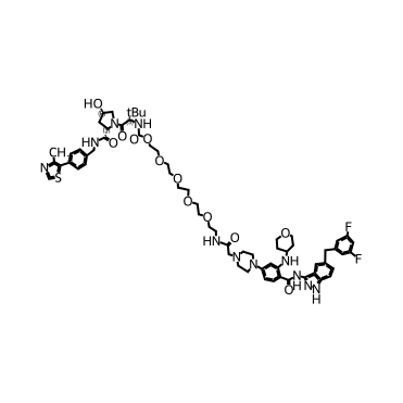 Cc1ncsc1-c1ccc(CNC(=O)[C@@H]2C[C@@H](O)CN2C(=O)[C@@H](NC(=O)OCCOCCOCCOCCOCCNC(=O)CN2CCN(c3ccc(C(=O)Nc4n[nH]c5ccc(Cc6cc(F)cc(F)c6)cc45)c(NC4CCOCC4)c3)CC2)C(C)(C)C)cc1